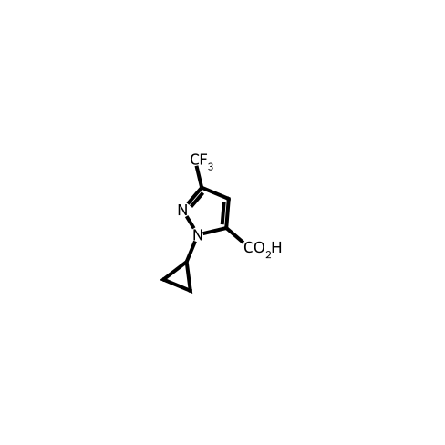 O=C(O)c1cc(C(F)(F)F)nn1C1CC1